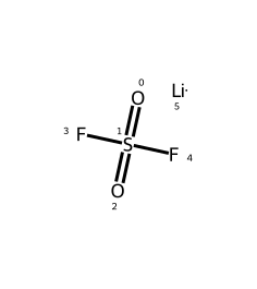 O=S(=O)(F)F.[Li]